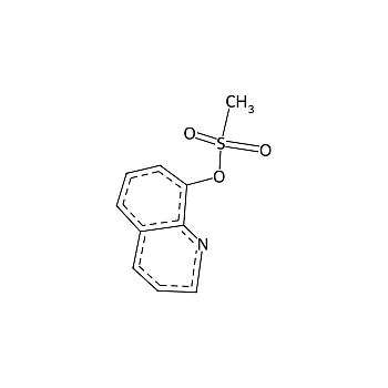 CS(=O)(=O)Oc1cccc2cccnc12